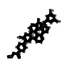 Cc1cccc(-c2cnn(Cc3cc(F)cc(F)c3)c2)c1-c1c(-c2ccc(C3=CCN(C(=O)OC(C)(C)C)CC3)c(F)c2)cnc2[nH]ccc12